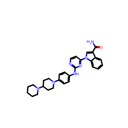 NC(=O)c1cn(-c2ccnc(Nc3ccc(N4CCC(N5CCCCC5)CC4)cc3)n2)c2ccccc12